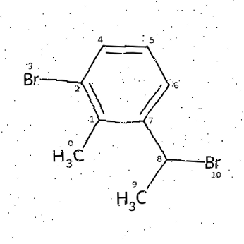 Cc1c(Br)cccc1C(C)Br